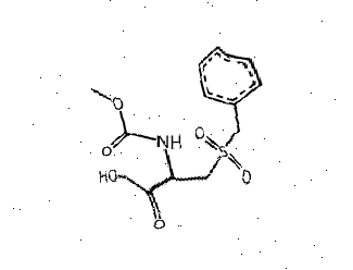 COC(=O)NC(CS(=O)(=O)Cc1ccccc1)C(=O)O